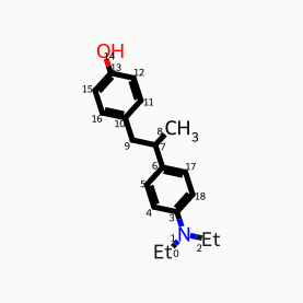 CCN(CC)c1ccc(C(C)Cc2ccc(O)cc2)cc1